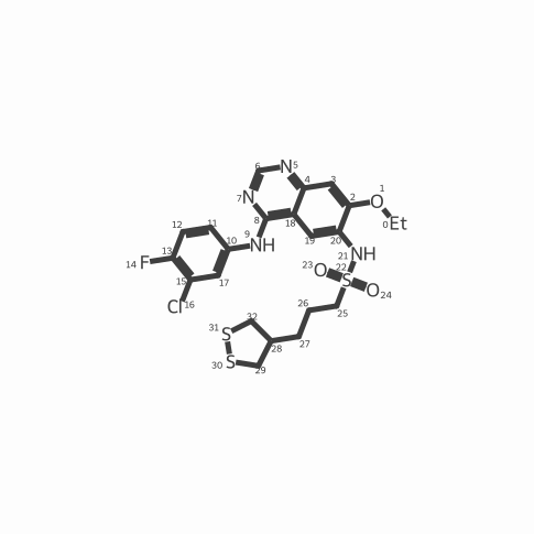 CCOc1cc2ncnc(Nc3ccc(F)c(Cl)c3)c2cc1NS(=O)(=O)CCCC1CSSC1